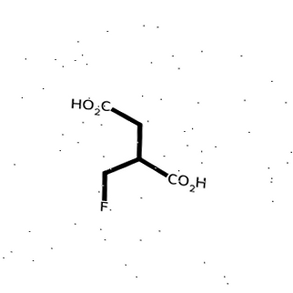 O=C(O)CC(CF)C(=O)O